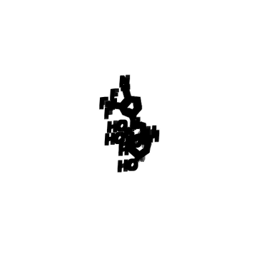 N#Cc1ccc(N2C[C@H]3[C@H]([C@H]4O[C@@H]3C[C@@H]4O)S2(O)O)cc1C(F)(F)F